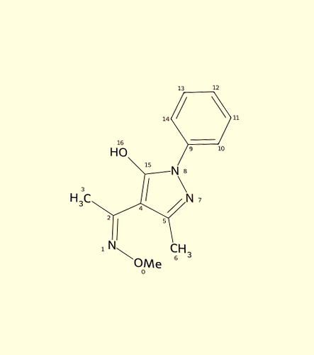 CO/N=C(/C)c1c(C)nn(-c2ccccc2)c1O